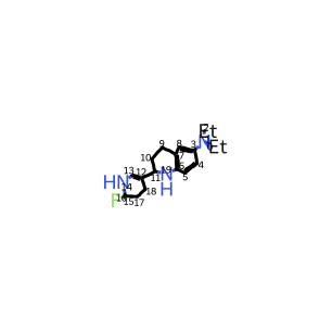 CCN(CC)c1ccc2c(c1)CCC(C1=CNC(F)CC1)N2